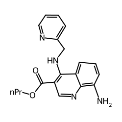 CCCOC(=O)c1cnc2c(N)cccc2c1NCc1ccccn1